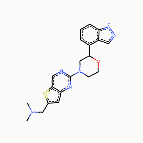 CN(C)Cc1cc2nc(N3CCOC(c4cccc5[nH]ncc45)C3)ncc2s1